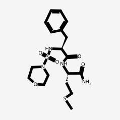 CSCC[C@H](NC(=O)[C@H](Cc1ccccc1)NS(=O)(=O)N1CCOCC1)C(N)=O